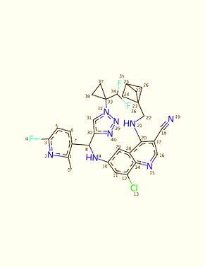 Cc1nc(F)ccc1C(Nc1cc(Cl)c2ncc(C#N)c(NCC34CC(C3)C4)c2c1)c1cn(C2(C(F)F)CC2)nn1